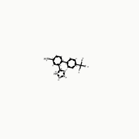 Nc1ccc(-c2ccc(C(F)(F)F)cc2)c(-c2nnn[nH]2)c1